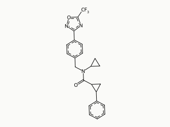 O=C(C1CC1c1ccccc1)N(Cc1ccc(-c2noc(C(F)(F)F)n2)cc1)C1CC1